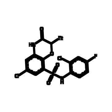 CCC1Oc2c(cc(Cl)cc2S(=O)(=O)Nc2ccc(F)cc2Cl)NC1=O